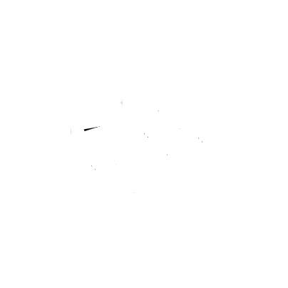 C[C@@H](O)[C@@H](C(N)=O)N1CC2(CCCN2)C1